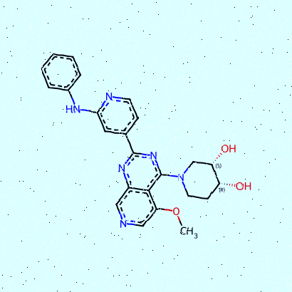 COc1cncc2nc(-c3ccnc(Nc4ccccc4)c3)nc(N3CC[C@@H](O)[C@@H](O)C3)c12